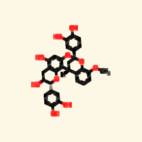 COc1cccc2c1O[C@]1(c3ccc(O)c(O)c3)C[C@H]2c2c(cc(O)c3c2O[C@H](c2ccc(O)c(O)c2)[C@@H](O)C3)O1